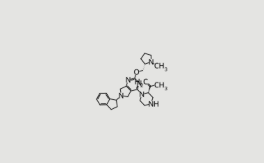 C=C(C)[C@H]1CNCCN1c1nc(OC[C@@H]2CCCN2C)nc2c1CN(C1CCc3ccccc31)C2